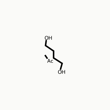 CC(C)=O.OCCCCO